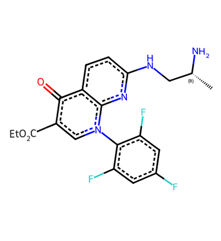 CCOC(=O)c1cn(-c2c(F)cc(F)cc2F)c2nc(NC[C@@H](C)N)ccc2c1=O